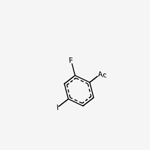 CC(=O)c1ccc(I)cc1F